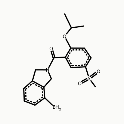 Bc1cccc2c1CN(C(=O)c1cc(S(C)(=O)=O)ccc1OC(C)C)C2